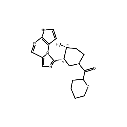 C[C@@H]1CCN(C(=O)C2CCCCO2)C[C@@H]1c1ncc2cnc3[nH]ccc3n12